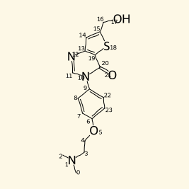 CN(C)CCOc1ccc(-n2cnc3cc(CO)sc3c2=O)cc1